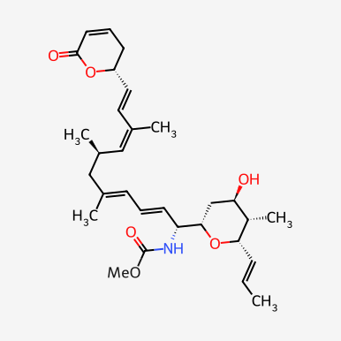 C/C=C/[C@@H]1O[C@H]([C@@H](/C=C/C=C(\C)C[C@@H](C)/C=C(C)\C=C\[C@H]2CC=CC(=O)O2)NC(=O)OC)C[C@@H](O)[C@@H]1C